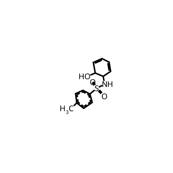 Cc1ccc(S(=O)(=O)NC2C=CC=CC2O)cc1